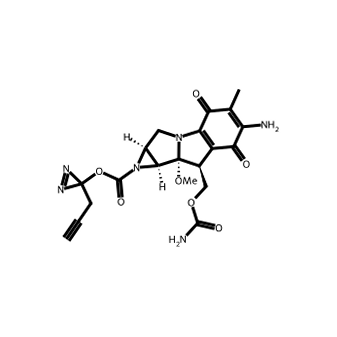 C#CCC1(OC(=O)N2[C@H]3[C@@H]2CN2C4=C(C(=O)C(N)=C(C)C4=O)[C@@H](COC(N)=O)[C@@]32OC)N=N1